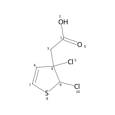 O=C(O)CC1(Cl)C=CSC1Cl